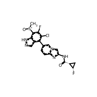 C[S+]([O-])c1c(F)c(Cl)c(-c2ccc3nc(NC(=O)[C@@H]4C[C@@H]4F)cn3c2)c2cn[nH]c12